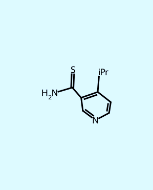 CC(C)c1ccncc1C(N)=S